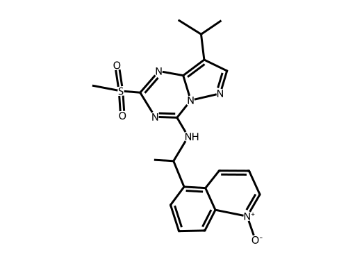 CC(C)c1cnn2c(NC(C)c3cccc4c3ccc[n+]4[O-])nc(S(C)(=O)=O)nc12